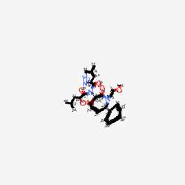 COCCN1C(=O)[C@@H](N(C(=O)[C@@H](N)CC(C)C)C(=O)[C@@H](O)CC(C)C)CC=C[C@H]1c1ccccc1